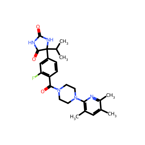 Cc1cc(C)c(N2CCN(C(=O)c3ccc(C4(C(C)C)NC(=O)NC4=O)cc3F)CC2)nc1C